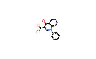 O=C(Cl)c1cn(-c2ccccc2)c2ccccc2c1=O